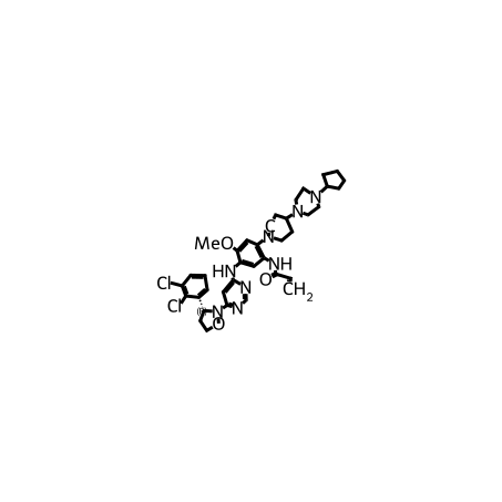 C=CC(=O)Nc1cc(Nc2cc(N3OCC[C@@H]3c3cccc(Cl)c3Cl)ncn2)c(OC)cc1N1CCC(N2CCN(C3CCCC3)CC2)CC1